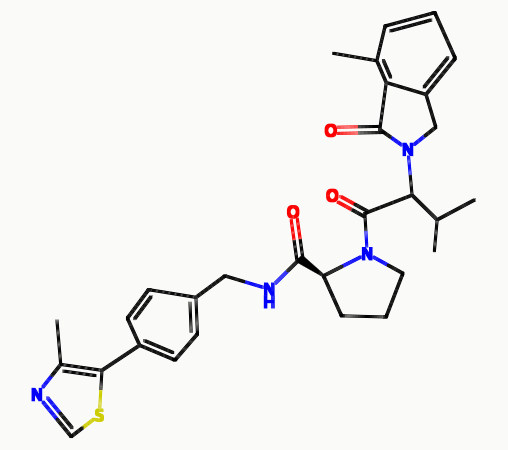 Cc1cccc2c1C(=O)N(C(C(=O)N1CCC[C@H]1C(=O)NCc1ccc(-c3scnc3C)cc1)C(C)C)C2